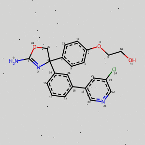 NC1=NC(c2ccc(OCCO)cc2)(c2cccc(-c3cncc(Cl)c3)c2)CO1